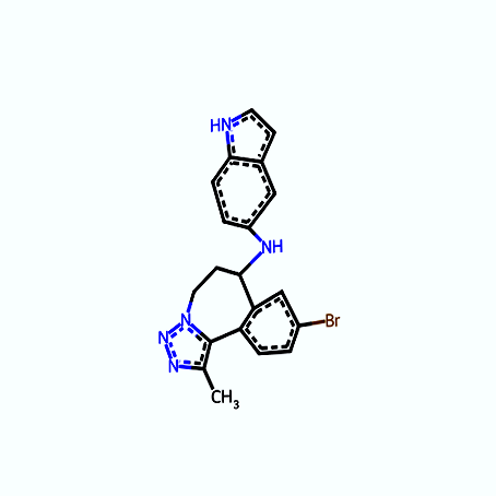 Cc1nnn2c1-c1ccc(Br)cc1C(Nc1ccc3[nH]ccc3c1)CC2